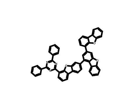 c1ccc(-c2nc(-c3ccccc3)nc(-c3cccc4c3oc3cc(-c5cc(-c6cccc7c6oc6ccccc67)cc6oc7ccccc7c56)ccc34)n2)cc1